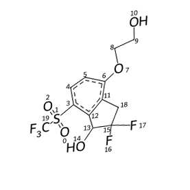 O=S(=O)(c1ccc(OCCO)c2c1C(O)C(F)(F)C2)C(F)(F)F